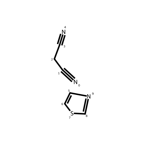 N#CCC#N.c1cscn1